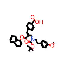 COc1ccc(CCN(C/C(=C\c2ccc(C(=O)O)cc2)COc2cccc3ccccc23)C(=O)OC(C)(C)C)cc1